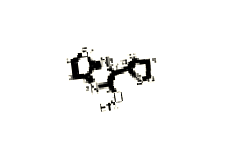 CCOc1nc2ccsc2nc1C1=CCCS1